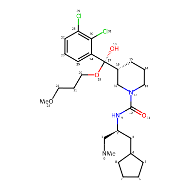 CNC[C@H](CC1CCCC1)NC(=O)N1CCC[C@@H]([C@@](O)(OCCCOC)c2cccc(Cl)c2Cl)C1